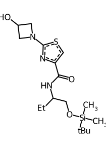 CCC(CO[Si](C)(C)C(C)(C)C)NC(=O)c1csc(N2CC(O)C2)n1